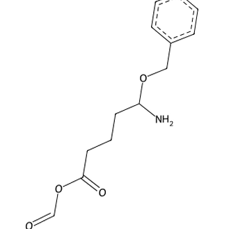 NC(CCCC(=O)OC=O)OCc1ccccc1